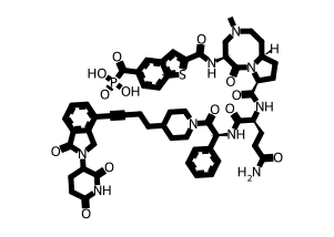 CN1CC[C@H]2CC[C@@H](C(=O)N[C@@H](CCC(N)=O)C(=O)N[C@H](C(=O)N3CCC(CCC#Cc4cccc5c4CN(C4CCC(=O)NC4=O)C5=O)CC3)c3ccccc3)N2C(=O)[C@@H](NC(=O)c2cc3cc(C(=O)P(=O)(O)O)ccc3s2)C1